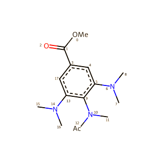 COC(=O)c1cc(N(C)C)c(N(C)C(C)=O)c(N(C)C)c1